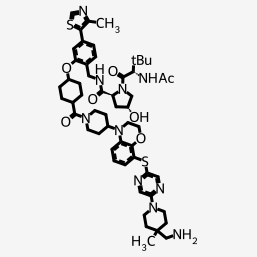 CC(=O)N[C@H](C(=O)N1C[C@H](O)C[C@H]1C(=O)NCc1ccc(-c2scnc2C)cc1OC1CCC(C(=O)N2CCC(N3CCOc4c(Sc5cnc(N6CCC(C)(CN)CC6)cn5)cccc43)CC2)CC1)C(C)(C)C